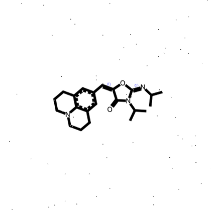 CC(C)/N=C1/O/C(=C/c2cc3c4c(c2)CCCN4CCC3)C(=O)N1C(C)C